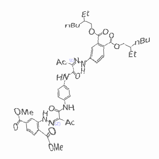 CCCCC(CC)COC(=O)c1ccc(N/N=C(/C(C)=O)C(=O)Nc2ccc(NC(=O)/C(=N\Nc3cc(C(=O)OC)ccc3C(=O)OC)C(C)=O)cc2)cc1C(=O)OCC(CC)CCCC